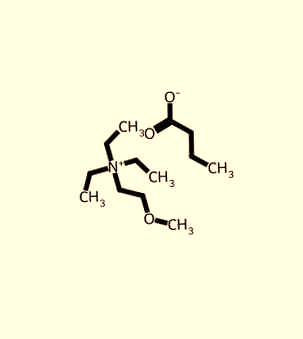 CCCC(=O)[O-].CC[N+](CC)(CC)CCOC